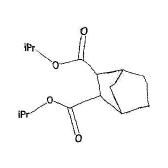 CC(C)OC(=O)C1C2CCC(C2)C1C(=O)OC(C)C